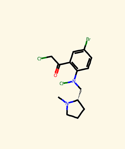 CN1CCC[C@H]1CN(Cl)c1ccc(Br)cc1C(=O)CCl